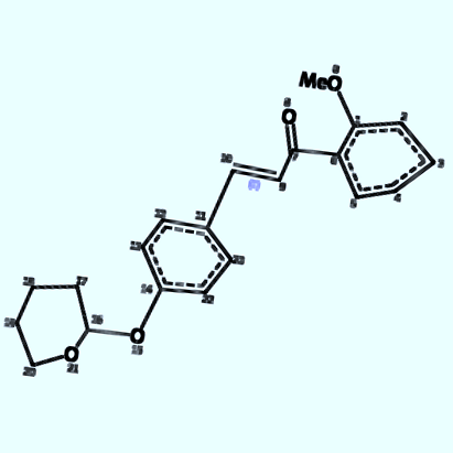 COc1ccccc1C(=O)/C=C/c1ccc(OC2CCCCO2)cc1